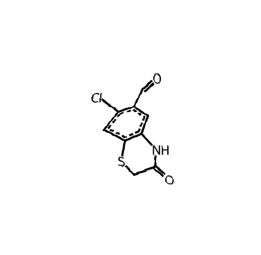 O=Cc1cc2c(cc1Cl)SCC(=O)N2